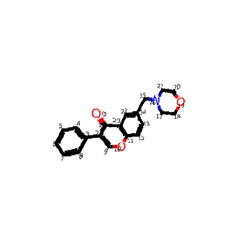 O=c1c(-c2ccccc2)coc2ccc(CN3CCOCC3)cc12